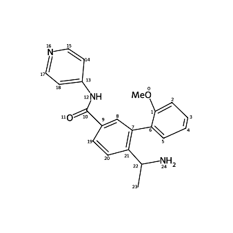 COc1ccccc1-c1cc(C(=O)Nc2ccncc2)ccc1C(C)N